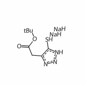 CC(C)(C)OC(=O)Cc1nn[nH]c1S.[NaH].[NaH]